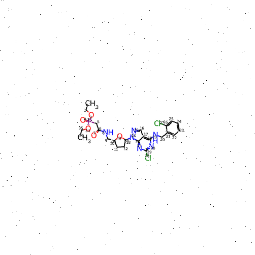 CCOP(=O)(CC(=O)NC[C@@H]1CC[C@H](n2ncc3c(NCc4ccccc4Cl)nc(Cl)nc32)O1)OCC